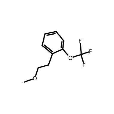 [CH2]OCCc1ccccc1OC(F)(F)F